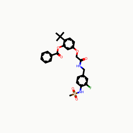 CC(C)(C)c1ccc(OCC(=O)NCc2ccc(NS(C)(=O)=O)c(F)c2)cc1OC(=O)c1ccccc1